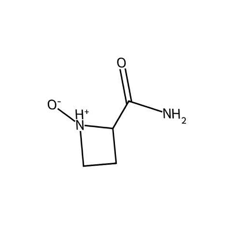 NC(=O)C1CC[NH+]1[O-]